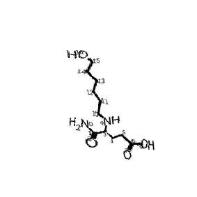 NC(=O)[C@H](CCC(=O)O)NCCCCCCO